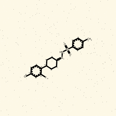 Cc1ccc(S(=O)(=O)NN=C2CCC(c3ccc(Cl)cc3F)CC2)cc1